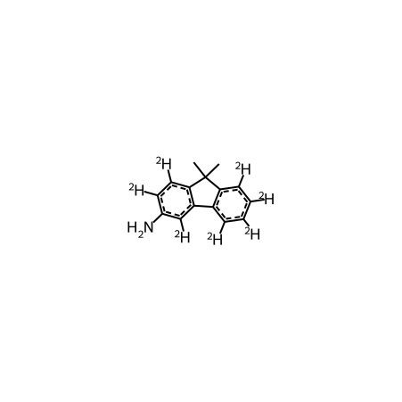 [2H]c1c([2H])c([2H])c2c(c1[2H])-c1c([2H])c(N)c([2H])c([2H])c1C2(C)C